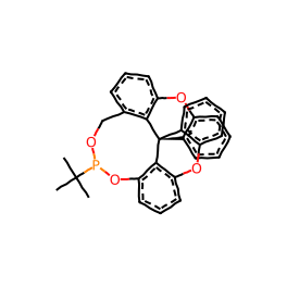 CC(C)(C)P1OCc2cccc3c2[C@]2(c4ccccc4O3)c3ccccc3Oc3cccc(c32)O1